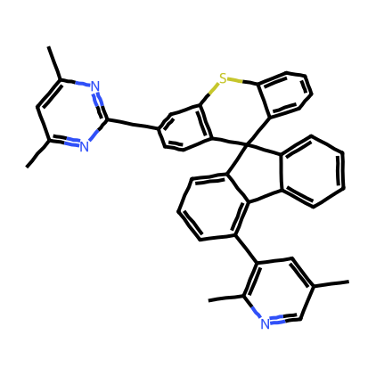 Cc1cnc(C)c(-c2cccc3c2-c2ccccc2C32c3ccccc3Sc3cc(-c4nc(C)cc(C)n4)ccc32)c1